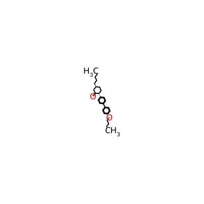 CCCCC[C@H]1CC[C@H](c2ccc(-c3ccc(OCCCC)cc3)cc2)C(=O)C1